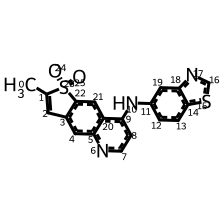 CC1=Cc2cc3nccc(Nc4ccc5scnc5c4)c3cc2S1(=O)=O